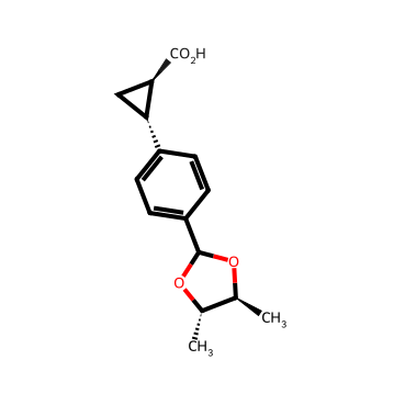 C[C@@H]1OC(c2ccc([C@@H]3C[C@H]3C(=O)O)cc2)O[C@H]1C